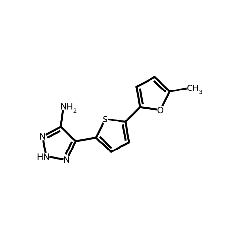 Cc1ccc(-c2ccc(-c3n[nH]nc3N)s2)o1